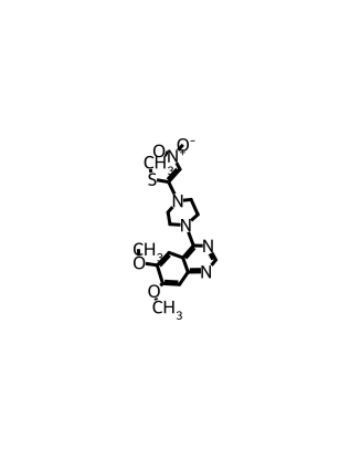 COc1cc2ncnc(N3CCN(C(=C[N+](=O)[O-])SC)CC3)c2cc1OC